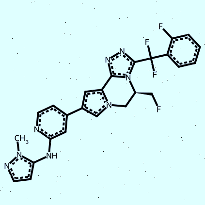 Cn1nccc1Nc1cc(-c2cc3n(c2)C[C@H](CF)n2c-3nnc2C(F)(F)c2ccccc2F)ccn1